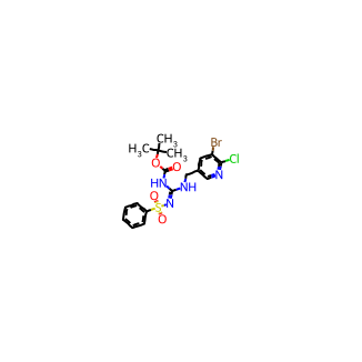 CC(C)(C)OC(=O)N/C(=N\S(=O)(=O)c1ccccc1)NCc1cnc(Cl)c(Br)c1